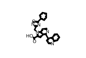 O=C(O)c1cc2c(-c3ccnc4ccccc34)nccc2n1Cc1noc(-c2ccccc2)n1